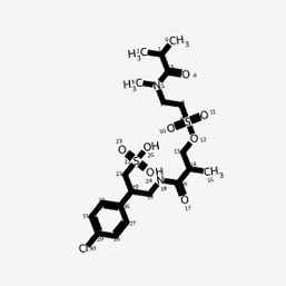 CC(C)C(=O)N(C)CCS(=O)(=O)OCC(C)C(=O)NCC(CS(=O)(=O)O)c1ccc(Cl)cc1